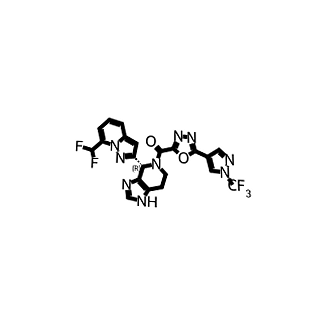 O=C(c1nnc(-c2cnn(C(F)(F)F)c2)o1)N1CCc2[nH]cnc2[C@@H]1c1cc2cccc(C(F)F)n2n1